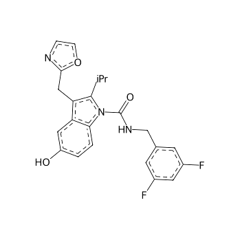 CC(C)c1c(Cc2ncco2)c2cc(O)ccc2n1C(=O)NCc1cc(F)cc(F)c1